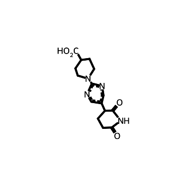 O=C1CCC(c2cnc(N3CCC(C(=O)O)CC3)nc2)C(=O)N1